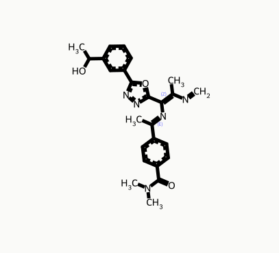 C=N/C(C)=C(\N=C(/C)c1ccc(C(=O)N(C)C)cc1)c1nnc(-c2cccc(C(C)O)c2)o1